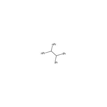 CCCC(CCC)C(C(C)C)C(C)C